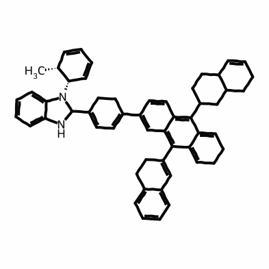 C[C@@H]1C=CC=C[C@@H]1N1c2ccccc2NC1C1=CC=C(c2ccc3c(C4CCC5C=CCCC5C4)c4c(c(C5=Cc6ccccc6CC5)c3c2)=CCCC=4)CC1